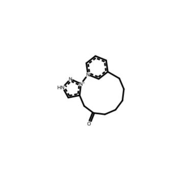 O=C1CCCCCc2ccc[n+](c2)-[n+]2n[nH]cc2C1